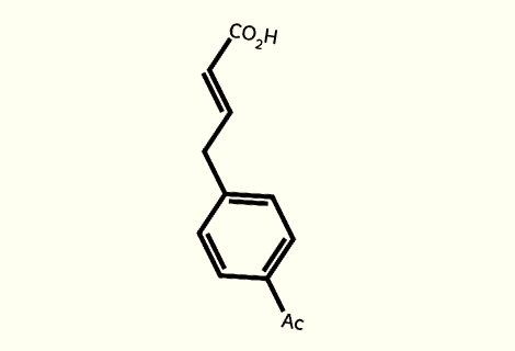 CC(=O)c1ccc(C/C=C/C(=O)O)cc1